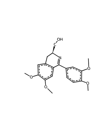 COc1ccc(C2=N[C@H](CO)Cc3cc(OC)c(OC)cc32)cc1OC